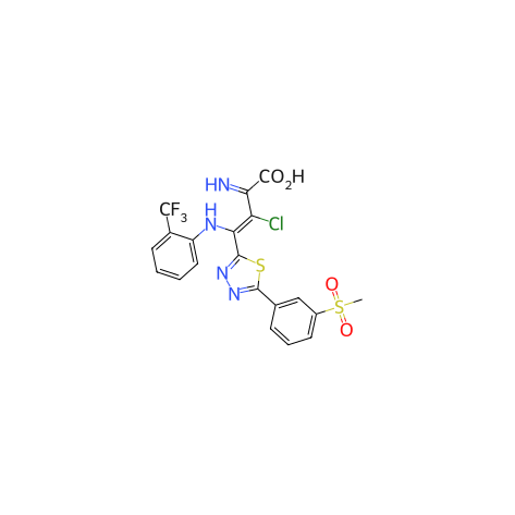 CS(=O)(=O)c1cccc(-c2nnc(/C(Nc3ccccc3C(F)(F)F)=C(\Cl)C(=N)C(=O)O)s2)c1